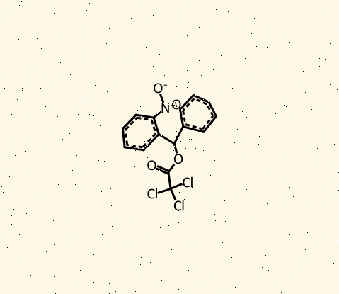 O=C(OC(c1ccccc1)c1ccccc1[N+](=O)[O-])C(Cl)(Cl)Cl